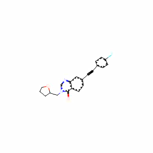 O=c1c2ccc(C#Cc3ccc(F)cc3)cc2ncn1CC1CCCO1